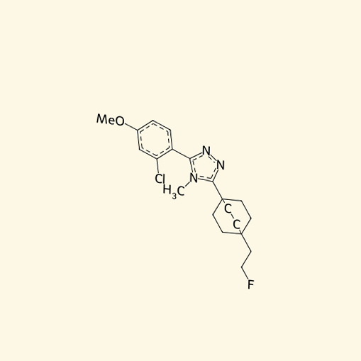 COc1ccc(-c2nnc(C34CCC(CCF)(CC3)CC4)n2C)c(Cl)c1